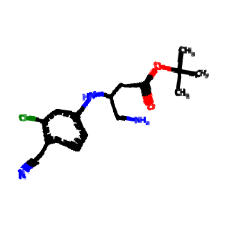 CC(C)(C)OC(=O)CC(CN)Nc1ccc(C#N)c(Cl)c1